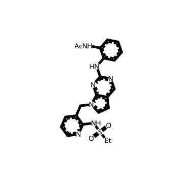 CCS(=O)(=O)Nc1ncccc1Cn1ccc2cnc(Nc3ccccc3NC(C)=O)nc21